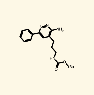 CC(C)(C)OC(=O)NCCCc1cc(-c2ccccc2)nnc1N